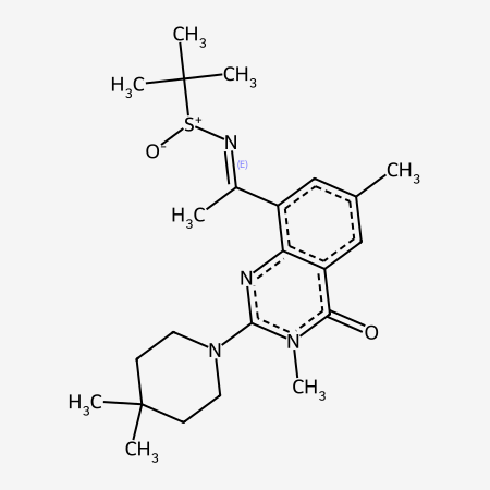 C/C(=N\[S+]([O-])C(C)(C)C)c1cc(C)cc2c(=O)n(C)c(N3CCC(C)(C)CC3)nc12